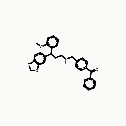 COc1ccccc1C(CCNCc1ccc(C(=O)c2ccccc2)cc1)c1ccc2c(c1)OCO2